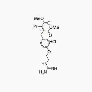 COC(=O)/C(Cc1ccc(OCCNC(=N)N)cc1)=C(\C(=O)OC)C(C)C.Cl